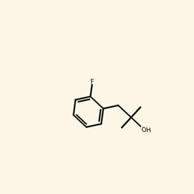 CC(C)(O)Cc1ccccc1F